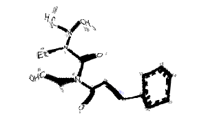 CCN(C(=O)N(C[C]=O)C(=O)/C=C/c1ccccc1)N(C)C